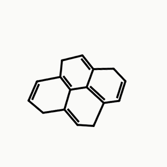 C1=CC2=C3C(=CCC4=C3C(=CC2)CC=C4)C1